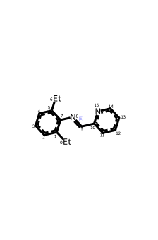 CCc1cccc(CC)c1/N=C/c1ccccn1